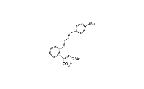 COC=C(C(=O)O)c1ccccc1C=CC=Cc1ccc(C(C)(C)C)cc1